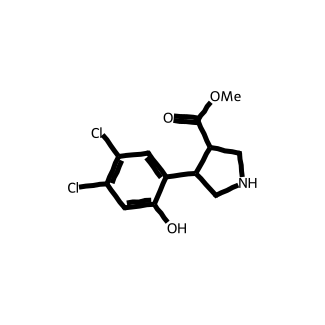 COC(=O)C1CNCC1c1cc(Cl)c(Cl)cc1O